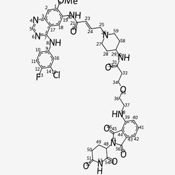 COc1cc2ncnc(Nc3ccc(F)c(Cl)c3)c2cc1NC(=O)/C=C/CN1CCC(NC(=O)CCOCCNc2cccc3c2C(=O)N(C2CCC(=O)NC2=O)C3=O)CC1